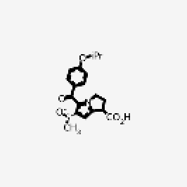 CC(C)Oc1ccc(C(=O)c2c([S+](C)[O-])cc3n2CCC3C(=O)O)cc1